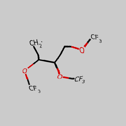 [CH2]C(OC(F)(F)F)C(COC(F)(F)F)OC(F)(F)F